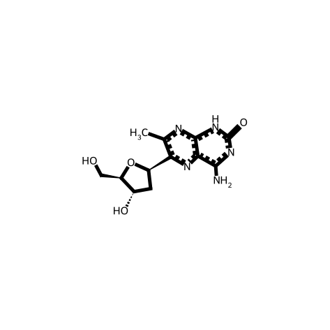 Cc1nc2[nH]c(=O)nc(N)c2nc1[C@H]1C[C@H](O)[C@@H](CO)O1